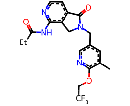 CCC(=O)Nc1nccc2c1CN(Cc1cnc(OCC(F)(F)F)c(C)c1)C2=O